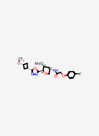 CO[C@H]1C[C@H](NC(=O)COc2ccc(F)cc2)CO[C@H]1c1nnc([C@H]2C[C@@H](OC(F)(F)F)C2)o1